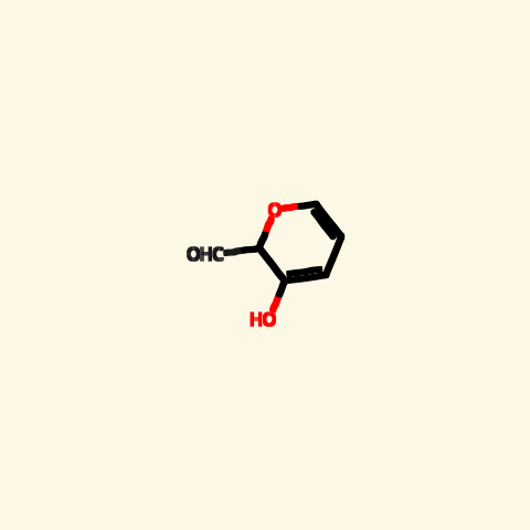 O=CC1OC=CC=C1O